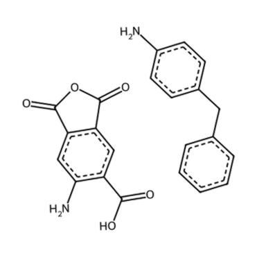 Nc1cc2c(cc1C(=O)O)C(=O)OC2=O.Nc1ccc(Cc2ccccc2)cc1